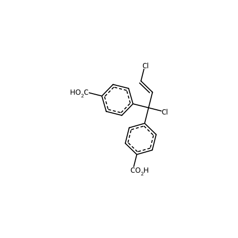 O=C(O)c1ccc(C(Cl)(C=CCl)c2ccc(C(=O)O)cc2)cc1